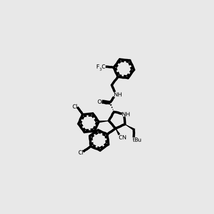 CC(C)(C)C[C@@H]1N[C@@H](C(=O)NCc2ccccc2C(F)(F)F)[C@H](c2cccc(Cl)c2)[C@@]1(C#N)c1ccc(Cl)cc1